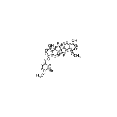 CCc1ccc(COC(=O)c2ccc(C(c3ccc(C(=O)O)c(C(=O)OC)c3)(C(F)(F)F)C(F)(F)F)cc2C(=O)O)cc1Br